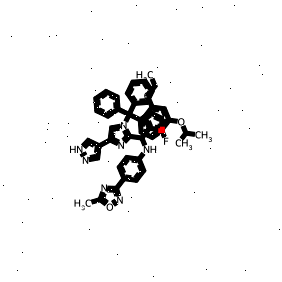 CCOc1cc(OC(C)C)c(F)c(C(Nc2ccc(-c3noc(C)n3)cc2)c2nc(-c3cn[nH]c3)cn2C(c2ccccc2)(c2ccccc2)c2ccccc2)c1